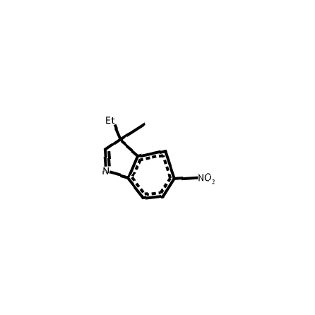 CCC1(C)C=Nc2ccc([N+](=O)[O-])cc21